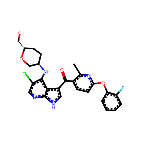 Cc1nc(Oc2ccccc2F)ccc1C(=O)c1c[nH]c2ncc(Cl)c(N[C@@H]3CC[C@@H](CO)OC3)c12